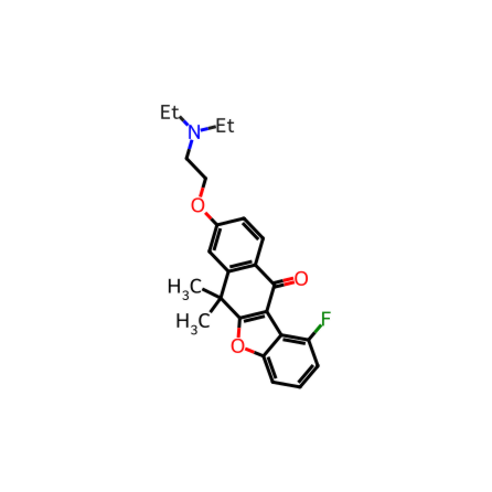 CCN(CC)CCOc1ccc2c(c1)C(C)(C)c1oc3cccc(F)c3c1C2=O